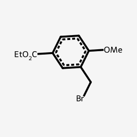 CCOC(=O)c1ccc(OC)c(CBr)c1